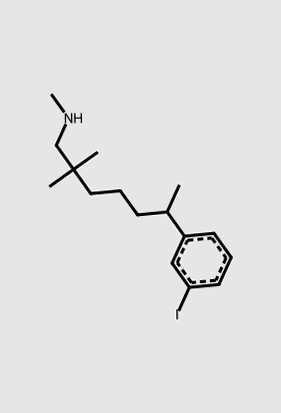 CNCC(C)(C)CCCC(C)c1cccc(I)c1